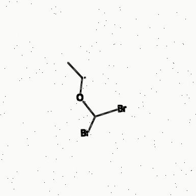 C[CH]OC(Br)Br